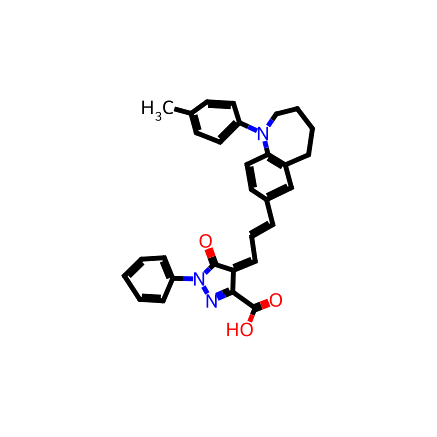 Cc1ccc(N2CCCCc3cc(/C=C/C=C4\C(=O)N(c5ccccc5)N=C4C(=O)O)ccc32)cc1